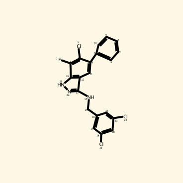 Fc1c(Cl)c(-c2ccccc2)cc2c(NCc3cc(Cl)cc(Cl)c3)n[nH]c12